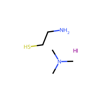 CN(C)C.I.NCCS